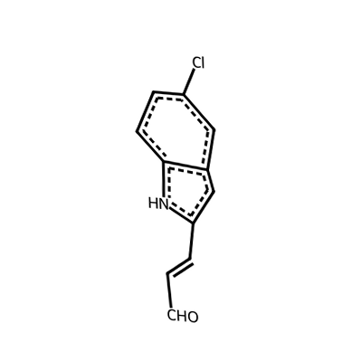 O=CC=Cc1cc2cc(Cl)ccc2[nH]1